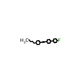 CCCCCC1CC=C(C#Cc2ccc(-c3ccc(F)cc3)cc2)CC1